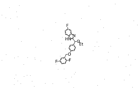 CCOC(c1ccc(OCc2cc(F)ccc2F)cc1)c1nc2cc(F)ccc2[nH]1